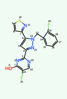 Oc1nc(-c2cc(-c3ccsn3)n(Cc3ccccc3F)n2)ncc1F